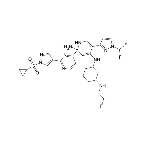 NC1(c2ccnc(-c3cnn(S(=O)(=O)C4CC4)c3)n2)C=C(NC2CCCC(NCCF)C2)C(c2ccn(C(F)F)n2)=CN1